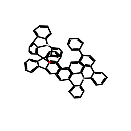 c1ccc(-c2ccc(-c3ccccc3N(c3cccc(-c4ccc5c(c4)C4(c6ccccc6-5)c5ccccc5-n5c6ccccc6c6cccc4c65)c3)c3ccccc3-c3ccc(-c4ccccc4)cc3)cc2)cc1